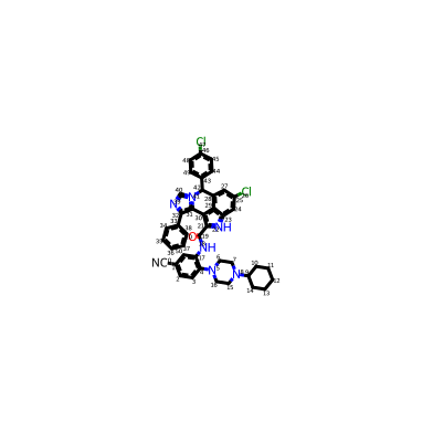 N#Cc1ccc(N2CCN(C3CCCCC3)CC2)c(NC(=O)c2[nH]c3cc(Cl)cc4c3c2-c2c(-c3ccccc3)ncn2C4c2ccc(Cl)cc2)c1